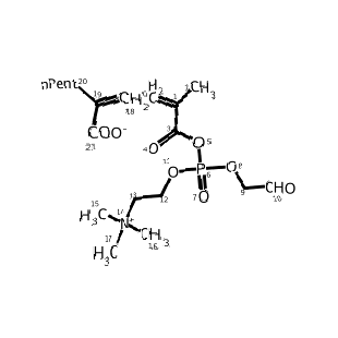 C=C(C)C(=O)OP(=O)(OCC=O)OCC[N+](C)(C)C.C=C(CCCCC)C(=O)[O-]